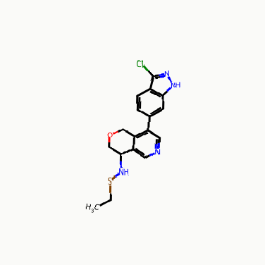 CCSNC1COCc2c(-c3ccc4c(Cl)n[nH]c4c3)cncc21